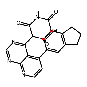 O=C1NC(=O)C(c2ncnc3nccc(-c4ccc5c(c4)CCC5)c23)C(=O)N1